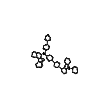 c1ccc(-c2ccc(N(c3ccc(-c4ccc(-c5cccc6c5c5ccccc5n6-c5ccccc5)cc4)cc3)c3cc4ccccc4c4c3oc3ccccc34)cc2)cc1